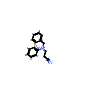 N#CCCN(Cc1ccccc1)c1cc[c]cc1